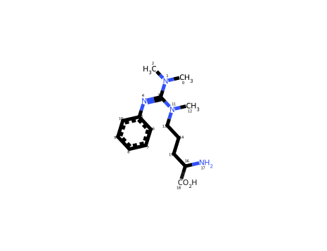 CN(C)C(=Nc1ccccc1)N(C)CCCC(N)C(=O)O